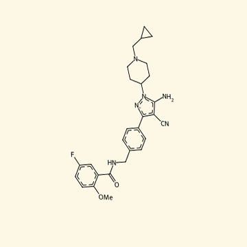 COc1ccc(F)cc1C(=O)NCc1ccc(-c2nn(C3CCN(CC4CC4)CC3)c(N)c2C#N)cc1